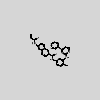 C=CC(=O)Nc1ccc2cc(C(=O)Nc3ccc(C)c(Nc4nccc(-c5cccnc5)n4)c3)ccc2c1